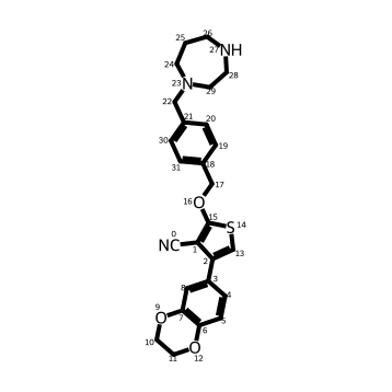 N#Cc1c(-c2ccc3c(c2)OCCO3)csc1OCc1ccc(CN2CCCNCC2)cc1